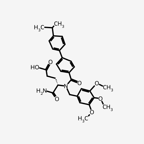 COc1cc(CN(C(=O)c2ccc(-c3ccc(C(C)C)cc3)cc2)[C@@H](CCC(=O)O)C(N)=O)cc(OC)c1OC